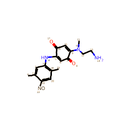 Cc1cc(NC2=CC(=O)C(N(C)CCN)=CC2=O)c(C)cc1N=O